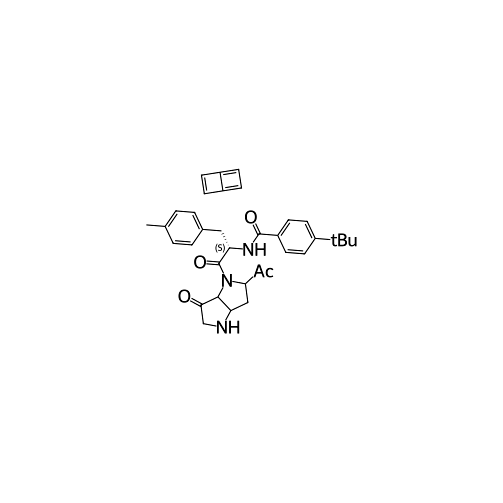 CC(=O)C1CC2NCC(=O)C2N1C(=O)[C@H](Cc1ccc(C)cc1)NC(=O)c1ccc(C(C)(C)C)cc1.c1cc2ccc1-2